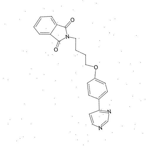 O=C1c2ccccc2C(=O)N1CCCCOc1ccc(-c2ccncn2)cc1